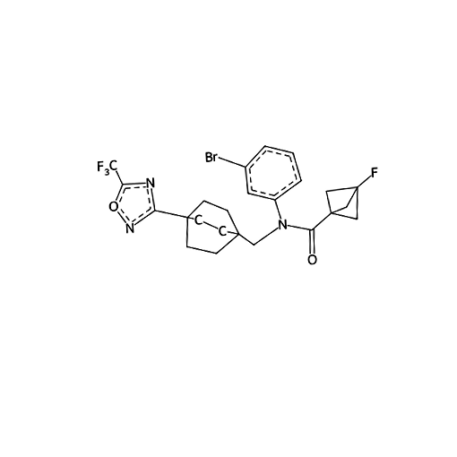 O=C(N(CC12CCC(c3noc(C(F)(F)F)n3)(CC1)CC2)c1cccc(Br)c1)C12CC(F)(C1)C2